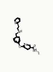 NC(=O)c1ccc(Oc2ccc(CNCCc3ccccn3)cc2)nc1